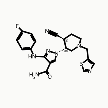 N#C[C@H]1CCN(Cc2cncs2)C[C@@H]1n1cc(C(N)=O)c(Nc2ccc(F)cc2)n1